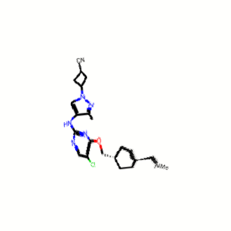 CNC[C@H]1CC[C@H](COc2nc(Nc3cn(C4CC(C#N)C4)nc3C)ncc2Cl)CC1